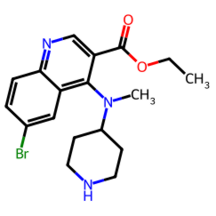 CCOC(=O)c1cnc2ccc(Br)cc2c1N(C)C1CCNCC1